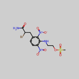 CS(=O)(=O)OCCNc1c([N+](=O)[O-])ccc(CC(Br)C(N)=O)c1[N+](=O)[O-]